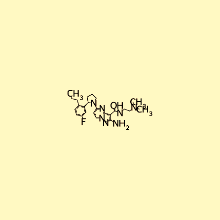 CCCc1ccc(F)cc1[C@H]1CCCN1c1ccn2nc(N)c(C(=O)NCCN(C)C)c2n1